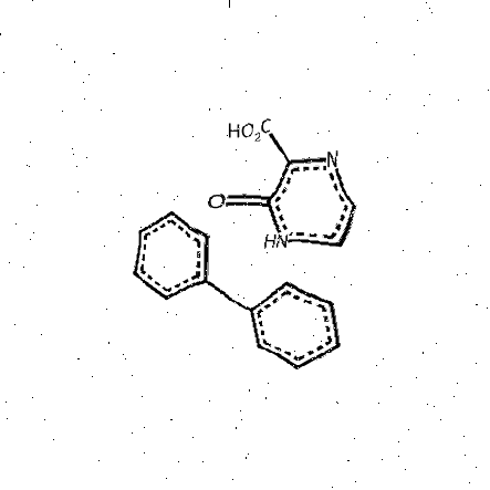 O=C(O)c1ncc[nH]c1=O.c1ccc(-c2ccccc2)cc1